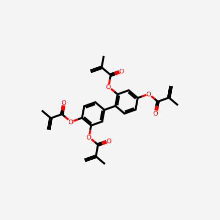 C=C(C)C(=O)Oc1ccc(-c2ccc(OC(=O)C(=C)C)c(OC(=O)C(=C)C)c2)c(OC(=O)C(=C)C)c1